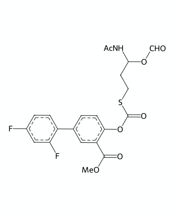 COC(=O)c1cc(-c2ccc(F)cc2F)ccc1OC(=O)SCCC(NC(C)=O)OC=O